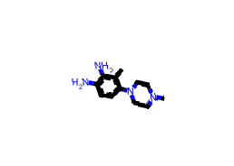 Cc1c(N2CCN(C)CC2)ccc(N)c1N